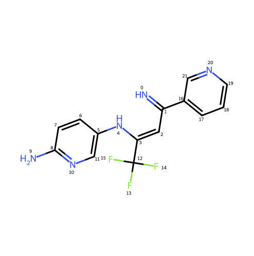 N=C(/C=C(\Nc1ccc(N)nc1)C(F)(F)F)c1cccnc1